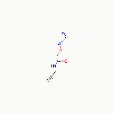 C#CCNC(=O)CONN=N